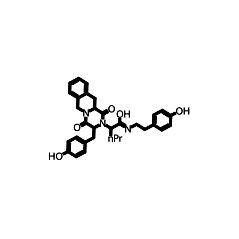 CCCC(C(O)=NCCc1ccc(O)cc1)N1C(=O)C2Cc3ccccc3CN2C(=O)C1Cc1ccc(O)cc1